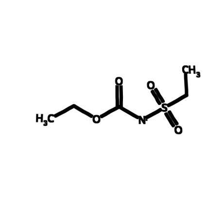 CCOC(=O)[N]S(=O)(=O)CC